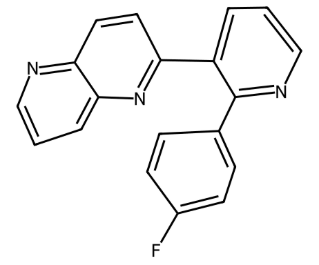 Fc1ccc(-c2ncccc2-c2ccc3ncccc3n2)cc1